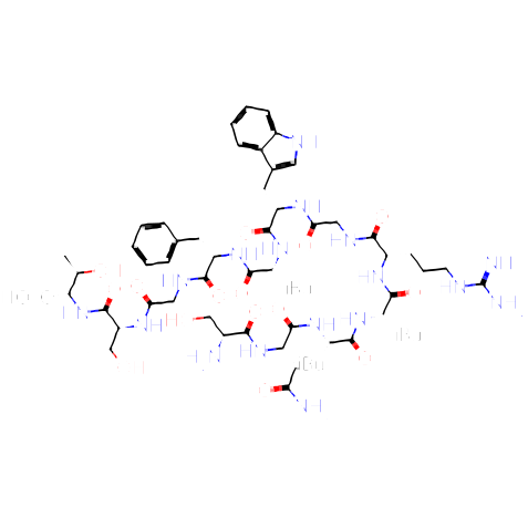 CC[C@H](C)[C@H](NC(=O)[C@H](Cc1c[nH]c2ccccc12)NC(=O)CNC(=O)[C@H](CCCNC(=N)N)NC(=O)[C@@H](NC(=O)[C@@H](NC(=O)[C@H](CC(N)=O)NC(=O)[C@@H](N)CO)[C@@H](C)CC)[C@@H](C)CC)C(=O)N[C@@H](Cc1ccccc1)C(=O)NCC(=O)N[C@H](C(=O)N[C@H](C(=O)O)[C@@H](C)O)[C@@H](C)O